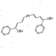 CCCCC(=CC=[CH][Pt][CH]=CC=C(CCCC)c1ccccc1)c1ccccc1